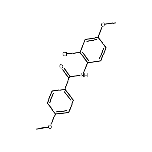 COc1ccc(C(=O)Nc2ccc(OC)cc2Cl)cc1